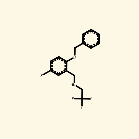 FC(F)(F)CNCc1cc(Br)ccc1OCc1ccccc1